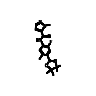 Cc1cc(NC(=O)c2ccnn2C)c(F)cc1B1OC(C)(C)C(C)(C)O1